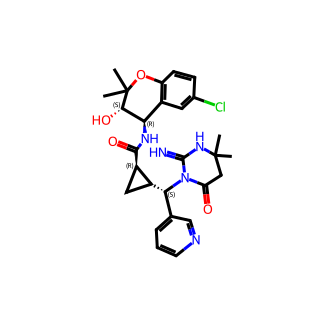 CC1(C)CC(=O)N([C@H](c2cccnc2)C2C[C@H]2C(=O)N[C@@H]2c3cc(Cl)ccc3OC(C)(C)[C@H]2O)C(=N)N1